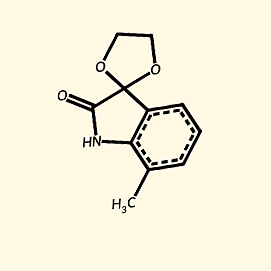 Cc1cccc2c1NC(=O)C21OCCO1